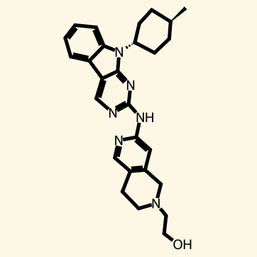 C[C@H]1CC[C@H](n2c3ccccc3c3cnc(Nc4cc5c(cn4)CCN(CCO)C5)nc32)CC1